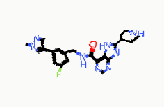 Cn1cc(-c2cc(F)cc(CNC(=O)c3ncnc4nc(C5CCNCC5)[nH]c34)c2)cn1